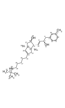 Cc1cccc(C[C@@H](O)/C=C/[C@@H]2[C@H]3CC(CCCCCNC(C)(C)C)=C[C@H]3C[C@H]2O)c1